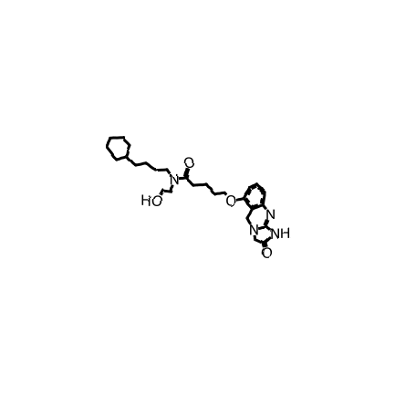 O=C1CN2Cc3c(cccc3OCCCCC(=O)N(CCO)CCCCC3CCCCC3)N=C2N1